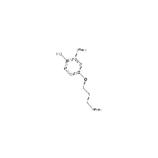 CCCCCCCCCCCCOc1ccc(O)c(CCCCC)c1